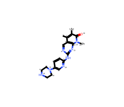 CC(=O)c1c(C)c2cnc(Nc3ccc(N4CCNCC4)cn3)nc2n(C(C)C)c1=O